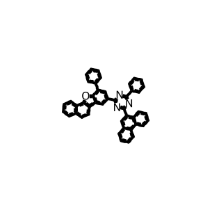 c1ccc(-c2nc(-c3cc(-c4ccccc4)c4oc5c6ccccc6ccc5c4c3)nc(-c3cc4ccccc4c4ccccc34)n2)cc1